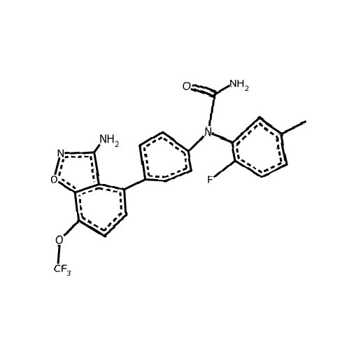 Cc1ccc(F)c(N(C(N)=O)c2ccc(-c3ccc(OC(F)(F)F)c4onc(N)c34)cc2)c1